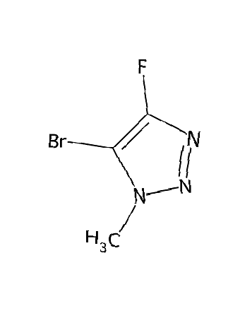 Cn1nnc(F)c1Br